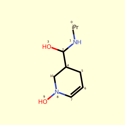 CC(C)NC(O)C1CC=CN(O)C1